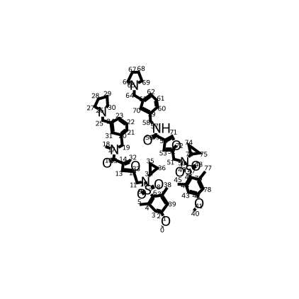 COc1cc(C)c(S(=O)(=O)N(Cc2cc(C(=O)N(C)Cc3cccc(CN4CCCC4)c3)co2)C2CC2)c(C)c1.COc1cc(C)c(S(=O)(=O)N(Cc2cc(C(=O)NCc3cccc(CN4CCCC4)c3)co2)C2CC2)c(C)c1